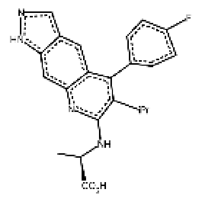 CC(C)c1c(N[C@H](C)C(=O)O)nc2cc3[nH]ncc3cc2c1-c1ccc(F)cc1